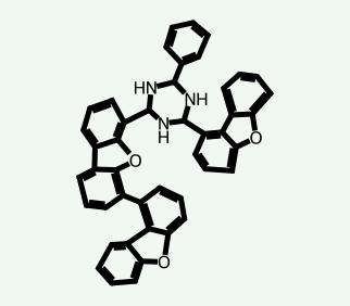 c1ccc(C2NC(c3cccc4c3oc3c(-c5cccc6oc7ccccc7c56)cccc34)NC(c3cccc4oc5ccccc5c34)N2)cc1